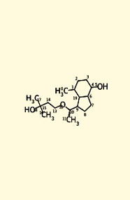 CC1CCC(O)C2CCC([C@@H](C)OCCC(C)(C)O)C12